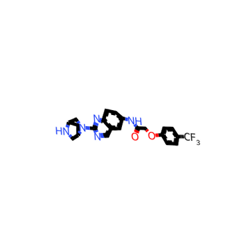 O=C(COc1ccc(C(F)(F)F)cc1)Nc1ccc2nc(N3CC4CC3CN4)ncc2c1